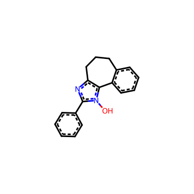 On1c(-c2ccccc2)nc2c1-c1ccccc1CCC2